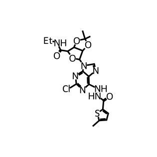 CCNC(=O)C1OC(n2cnc3c(NNC(=O)c4ccc(C)s4)nc(Cl)nc32)C2OC(C)(C)OC12